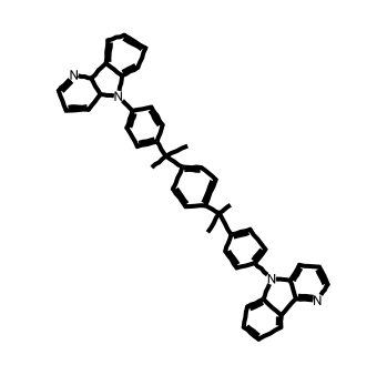 CC(C)(c1ccc(N2c3ccccc3C3N=CC=CC32)cc1)c1ccc(C(C)(C)c2ccc(-n3c4ccccc4c4ncccc43)cc2)cc1